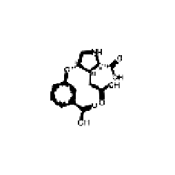 O=C(O)C[C@@H]1[C@@H](C(=O)O)NC[C@H]1Oc1cccc(C(=O)O)c1